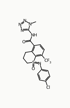 Cn1nnnc1NC(=O)c1ccc(C(F)(F)F)c2c1CCCS2(=O)=Nc1ccc(Cl)cc1